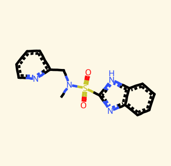 CN(Cc1ccccn1)S(=O)(=O)c1nc2ccccc2[nH]1